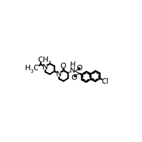 CC(C)N1CCC(N2CCC[C@@H](NS(=O)(=O)c3ccc4cc(Cl)ccc4c3)C2=O)CC1